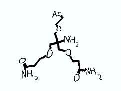 CC(=O)CCOCC(N)(COCCC(N)=O)COCCC(N)=O